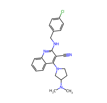 CN(C)C1CCN(c2c(C#N)c(NCc3ccc(Cl)cc3)nc3ccccc23)C1